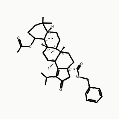 CC(=O)OC1CCC(C)(C)[C@@H]2CC[C@]3(C)[C@H](CC[C@@H]4C5=C(C(C)C)C(=O)C[C@]5(C(=O)NCc5ccccc5)CC[C@]43C)[C@@]12C